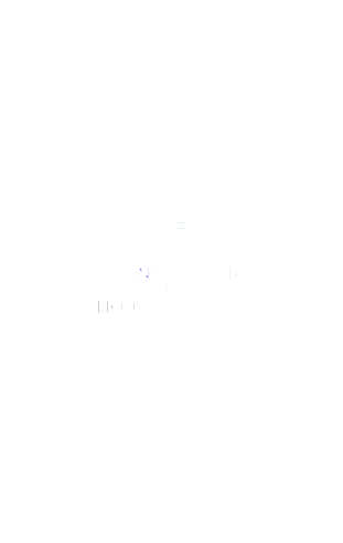 NC(Cc1cc(F)cc(Br)c1)C(=O)O